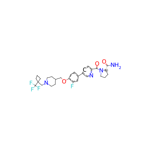 NC(=O)[C@@H]1CCCN1C(=O)c1ccc(-c2ccc(OCC3CCN(CC4(C(F)(F)F)CCC4)CC3)c(F)c2)cn1